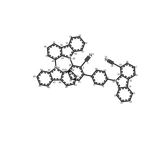 N#Cc1c(-c2ccc(-n3c4ccccc4c4cccc(C#N)c43)cc2)cccc1-n1c2ccccc2c2cccc(-n3c4ccccc4c4ccccc43)c21